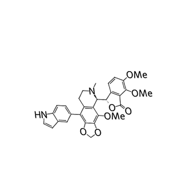 COc1ccc2c(c1OC)C(=O)O[C@@H]2[C@H]1c2c(c(-c3ccc4[nH]ccc4c3)c3c(c2OC)OCO3)CCN1C